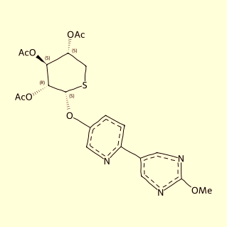 COc1ncc(-c2ccc(O[C@H]3SC[C@@H](OC(C)=O)[C@H](OC(C)=O)[C@H]3OC(C)=O)cn2)cn1